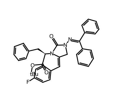 CC(C)(C)OC(=O)[C@@H](Cc1ccccc1)N1C(=O)N(N=C(c2ccccc2)c2ccccc2)C/C1=C/c1ccc(F)cc1